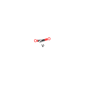 O=[Si]=O.[V]